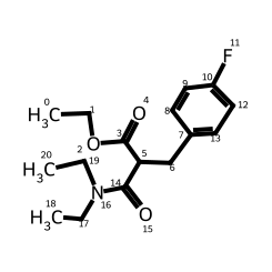 CCOC(=O)C(Cc1ccc(F)cc1)C(=O)N(CC)CC